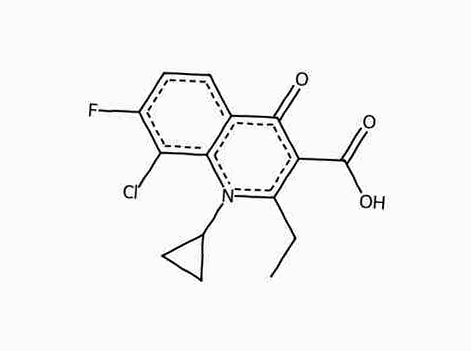 CCc1c(C(=O)O)c(=O)c2ccc(F)c(Cl)c2n1C1CC1